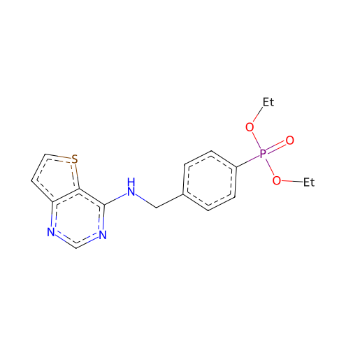 CCOP(=O)(OCC)c1ccc(CNc2ncnc3ccsc23)cc1